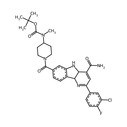 CN(C(=O)OC(C)(C)C)C1CCN(C(=O)c2ccc3c(c2)NC2C(C(N)=O)=CC(c4ccc(F)c(Cl)c4)=NC32)CC1